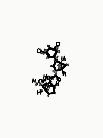 CPN1[C@H]2CC[C@@H]1[C@H](NC(=O)[C@H]1CN(c3cc(Cl)cc(Cl)c3)[C@H]3C[C@@H]13)C2